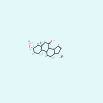 CC(C)[C@H]1CCC2C3C(=O)C[C@@H]4C[C@H](OP)CC[C@]4(C)C3CC[C@@]21C